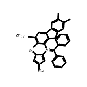 CCC1C=C(C(C)(C)C)C=[C]1[Zr+2](=[C](c1ccccc1)c1ccccc1)[c]1c(C)c(C)cc2c1Cc1cc(C)c(C)cc1-2.[Cl-].[Cl-]